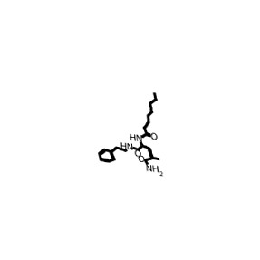 CCCCCCCC(=O)NC(/C=C(/C)C(N)=O)C(=O)NCCc1ccccc1